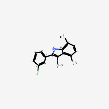 Cc1ccc(C)c2c(C=O)c(-c3cccc(Cl)c3)[nH]c12